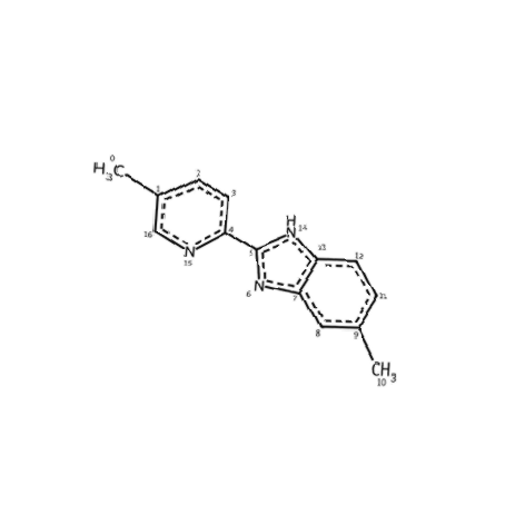 Cc1ccc(-c2nc3cc(C)ccc3[nH]2)nc1